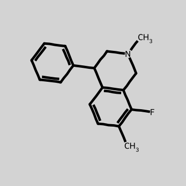 Cc1ccc2c(c1F)CN(C)CC2c1ccccc1